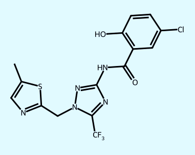 Cc1cnc(Cn2nc(NC(=O)c3cc(Cl)ccc3O)nc2C(F)(F)F)s1